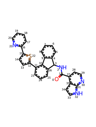 O=C(NC1c2ccccc2-c2c(-c3ccc(-c4ccccn4)s3)cccc21)c1ccnc2[nH]ccc12